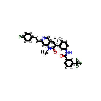 Cc1ccc(NC(=O)c2cccc(C(F)(F)F)c2)cc1-c1cc2cnc(CCc3ccc(F)cc3)cc2n(C)c1=O